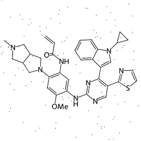 C=CC(=O)Nc1cc(Nc2ncc(-c3nccs3)c(-c3cn(C4CC4)c4ccccc34)n2)c(OC)cc1N1CC2CN(C)CC2C1